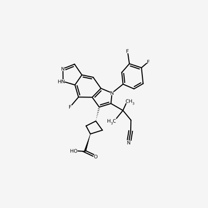 CC(C)(CC#N)c1c([C@H]2C[C@H](C(=O)O)C2)c2c(F)c3[nH]ncc3cc2n1-c1ccc(F)c(F)c1